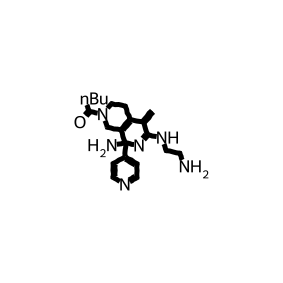 C=C1C(NCCN)=NC(N)(c2ccncc2)C2=C1CCN(C(=O)CCCC)C2